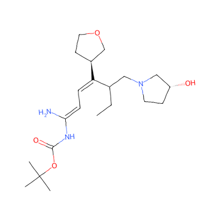 CCC(CN1CC[C@@H](O)C1)/C(=C\C=C(/N)NC(=O)OC(C)(C)C)[C@H]1CCOC1